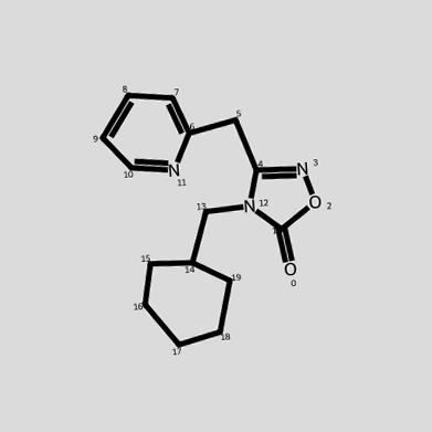 O=c1onc(Cc2ccccn2)n1CC1CCCCC1